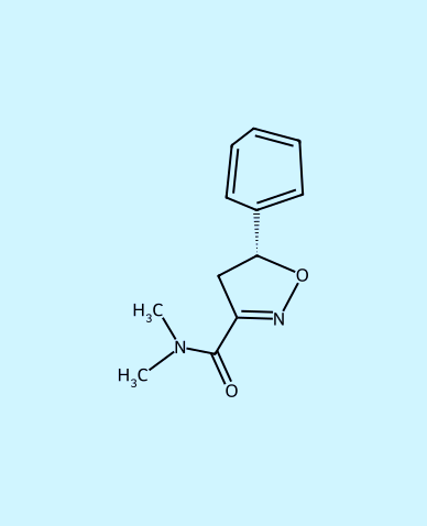 CN(C)C(=O)C1=NO[C@@H](c2ccccc2)C1